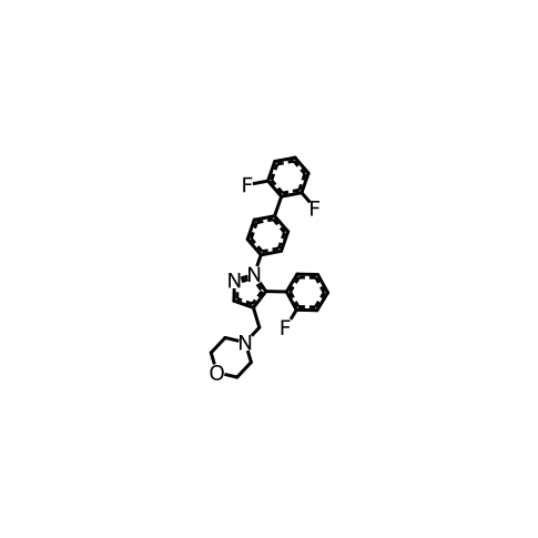 Fc1ccccc1-c1c(CN2CCOCC2)cnn1-c1ccc(-c2c(F)cccc2F)cc1